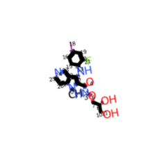 Cn1c(C(=O)NOC[C@H](O)CO)c(NC2CC=C(I)C=C2F)c2cnccc21